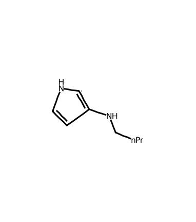 CCCCNc1[c][nH]cc1